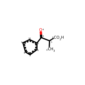 CC(C(=O)O)C(=O)c1ccccc1